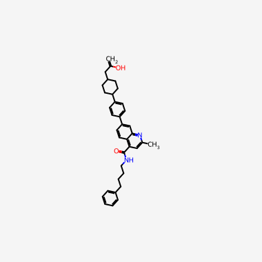 C=C(O)CC1CCC(c2ccc(-c3ccc4c(C(=O)NCCCCc5ccccc5)cc(C)nc4c3)cc2)CC1